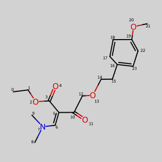 CCOC(=O)C(=CN(C)C)C(=O)COCCc1ccc(OC)cc1